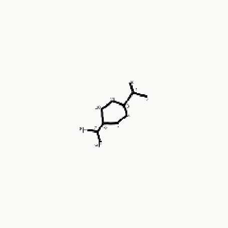 CC(C)C1CCC(C(F)F)CC1